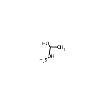 CC(O)O.S